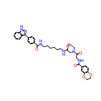 CC(C)CN(CC(=O)NCCCCCCNC(=O)c1ccc(-c2n[nH]c3ccccc23)cc1)C(=O)CNC(=O)c1ccc2c(c1)OCCO2